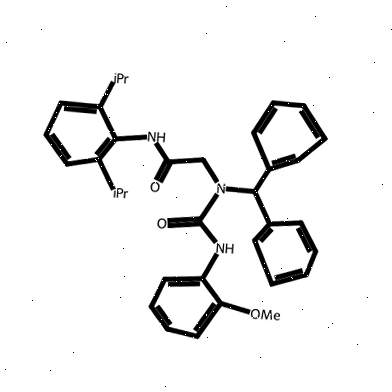 COc1ccccc1NC(=O)N(CC(=O)Nc1c(C(C)C)cccc1C(C)C)C(c1ccccc1)c1ccccc1